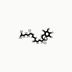 Cc1c(C)c(C)c2c(c1C)CC[C@](C)(CCC[C@@H](C)CCC[C@@H](C)CCCC(C)C)O2